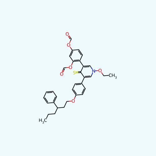 CCCC(CCOc1ccc(-c2cn(OCC)cc(-c3ccc(OC=O)cc3OC=O)c2=S)cc1)c1ccccc1